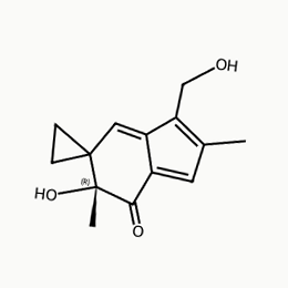 CC1=C(CO)C2=CC3(CC3)[C@@](C)(O)C(=O)C2=C1